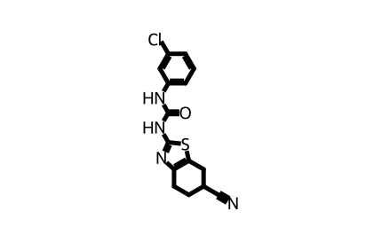 N#CC1CCc2nc(NC(=O)Nc3cccc(Cl)c3)sc2C1